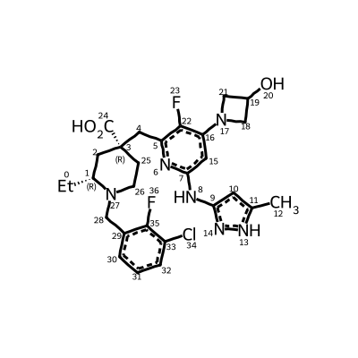 CC[C@@H]1C[C@](Cc2nc(Nc3cc(C)[nH]n3)cc(N3CC(O)C3)c2F)(C(=O)O)CCN1Cc1cccc(Cl)c1F